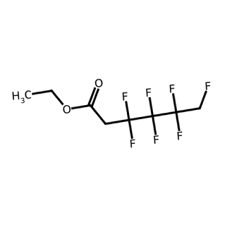 CCOC(=O)CC(F)(F)C(F)(F)C(F)(F)CF